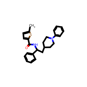 Cc1ccc(C(=O)NC(CC2CCN(c3ccccc3)CC2)c2ccccc2)s1